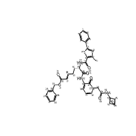 Cc1nc(-c2ccccc2)sc1C(=O)N[C@@H](CC/C=C/C(=O)OCc1ccccc1)C(=O)Nc1cccn(CC(=O)NC23CC(C2)C3)c1=O